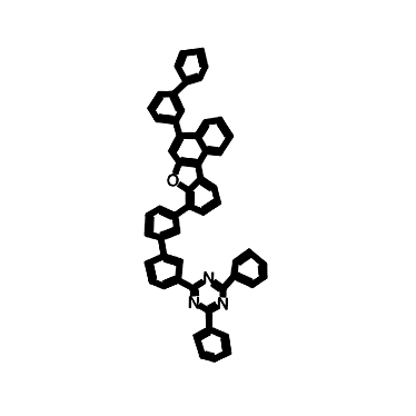 c1ccc(-c2cccc(-c3cc4oc5c(-c6cccc(-c7cccc(-c8nc(-c9ccccc9)nc(-c9ccccc9)n8)c7)c6)cccc5c4c4ccccc34)c2)cc1